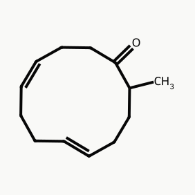 CC1CC/C=C/CC/C=C\CCC1=O